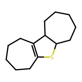 C1CCC2=C(CC1)C1CCCCCC1S2